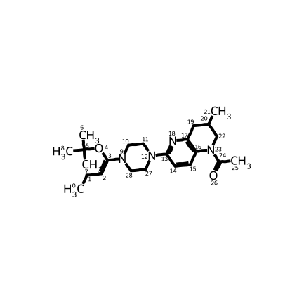 CC/C=C(\OC(C)(C)C)N1CCN(c2ccc3c(n2)CC(C)CN3C(C)=O)CC1